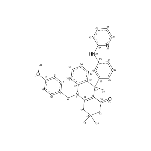 COc1ccc(CN2C3=C(C(=O)CC(C)(C)C3)C(C)(c3cccc(Nc4ncccn4)c3)c3cccnc32)cc1